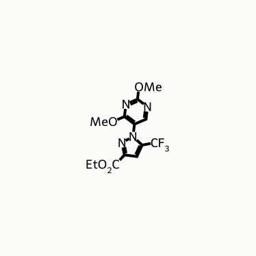 CCOC(=O)c1cc(C(F)(F)F)n(-c2cnc(OC)nc2OC)n1